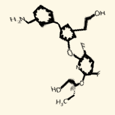 CC[C@H](CO)Oc1nc(Oc2cc(CCO)cc(-c3cccc(CN)c3)c2)c(F)cc1F